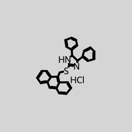 Cl.c1ccc(C2N=C(SCc3c4ccccc4cc4ccccc34)NC2c2ccccc2)cc1